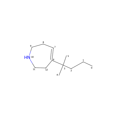 CCCC(C)(C)C1=CCCNCC1